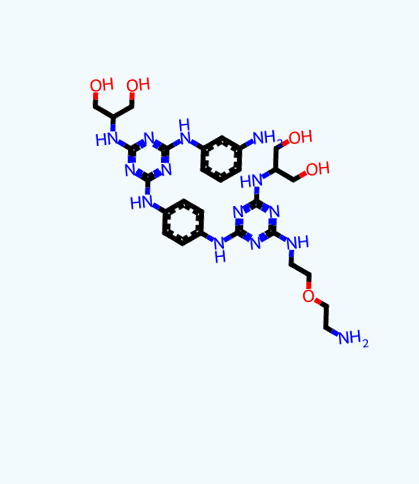 NCCOCCNc1nc(Nc2ccc(Nc3nc(Nc4cccc(N)c4)nc(NC(CO)CO)n3)cc2)nc(NC(CO)CO)n1